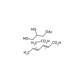 C/C=C/C=C/C(=O)O.CC(=O)O.CC(=O)OCC(O)CO